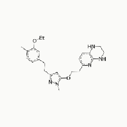 CCOc1cc(CCc2cc(OCCc3ccc4c(n3)NCCN4)n(C)n2)ccc1C